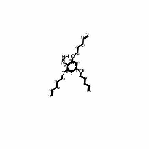 C=CCCCOc1cc(OCCCC=C)c(N=N)c(OCCCC=C)c1